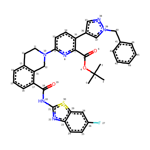 CC(C)(C)OC(=O)c1nc(N2CCc3cccc(C(=O)Nc4nc5ccc(F)cc5s4)c3C2)ccc1-c1cnn(Cc2ccccc2)c1